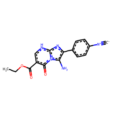 [C-]#[N+]c1ccc(-c2nc3[nH]cc(C(=O)OCC)c(=O)n3c2N)cc1